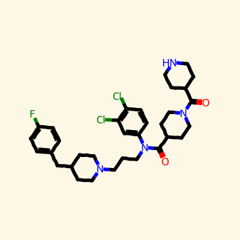 O=C(C1CCNCC1)N1CCC(C(=O)N(CCCN2CCC(Cc3ccc(F)cc3)CC2)c2ccc(Cl)c(Cl)c2)CC1